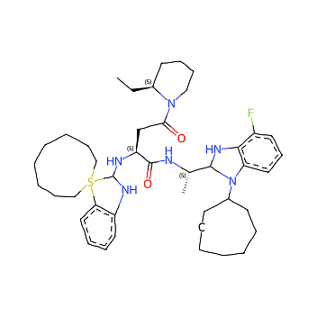 CC[C@H]1CCCCN1C(=O)C[C@H](NC1Nc2ccccc2S12CCCCCCCC2)C(=O)N[C@@H](C)C1Nc2c(F)cccc2N1C1CCCCCCC1